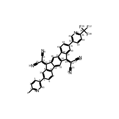 Cc1ccc(-c2ccc3c(c2)C(=C(C#N)C#N)c2cc4c(cc2-3)C(=C(C#N)C#N)c2cc(-c3ccc(C(F)(F)F)nc3)ccc2-4)cn1